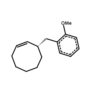 COc1ccccc1C[C@H]1C=CCCCCC1